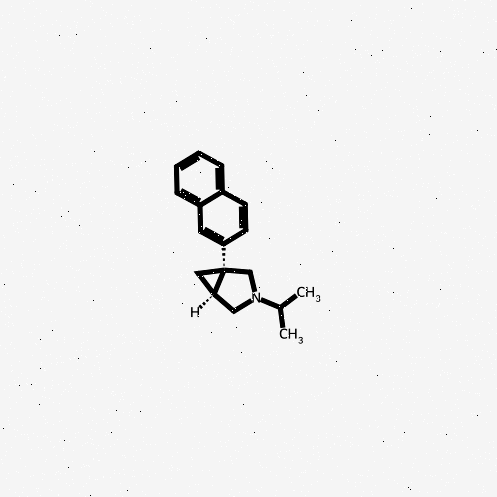 CC(C)N1C[C@H]2C[C@@]2(c2ccc3ccccc3c2)C1